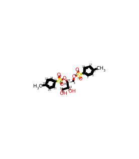 Cc1ccc(S(=O)(=O)OC[C@@H](OS(=O)(=O)c2ccc(C)cc2)[C@H](O)CO)cc1